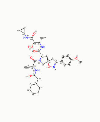 CCC[C@H](NC(=O)[C@@H]1C[C@]2(CC(c3ccc(OC(C)C)cc3)=NO2)CN1C(=O)[C@@H](NC(=O)CC1CCCCC1)C(C)(C)C)C(O)C(=O)NC1CC1